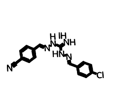 I.N#Cc1ccc(C=NNC(=N)NN=Cc2ccc(Cl)cc2)cc1